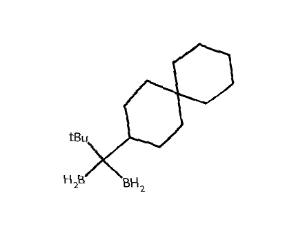 BC(B)(C1CCC2(CCCCC2)CC1)C(C)(C)C